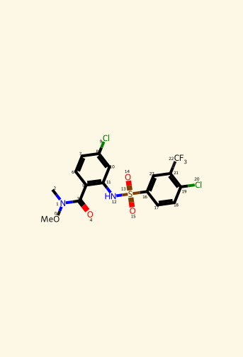 CON(C)C(=O)c1ccc(Cl)cc1NS(=O)(=O)c1ccc(Cl)c(C(F)(F)F)c1